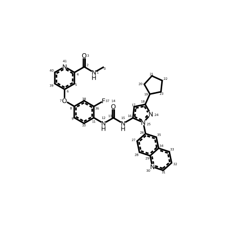 CNC(=O)c1cc(Oc2ccc(NC(=O)Nc3cc(C4CCCC4)nn3-c3ccc4ncccc4c3)c(F)c2)ccn1